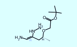 C[C@H](C/C(=C/N)NN)OCC(=O)OC(C)(C)C